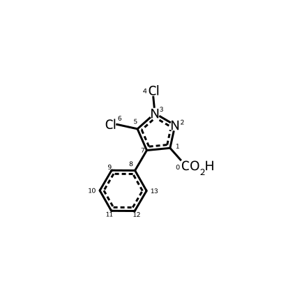 O=C(O)c1nn(Cl)c(Cl)c1-c1ccccc1